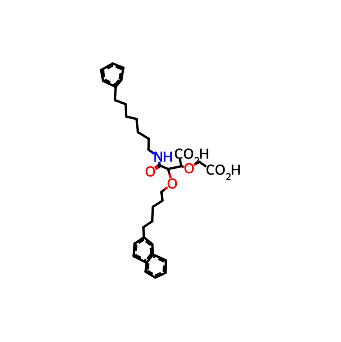 O=C(O)COC(C(=O)O)C(OCCCCCc1ccc2ccccc2c1)C(=O)NCCCCCCCc1ccccc1